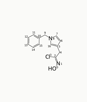 O/N=C(\Cl)Cc1ccn(Cc2ccccc2)c1